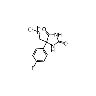 O=C1NC(=O)C(CNCl)(c2ccc(F)cc2)N1